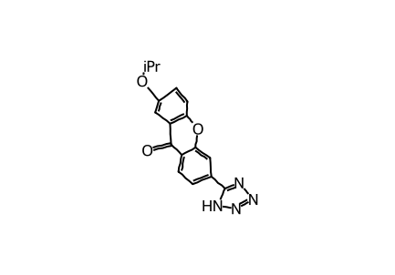 CC(C)Oc1ccc2oc3cc(-c4nnn[nH]4)ccc3c(=O)c2c1